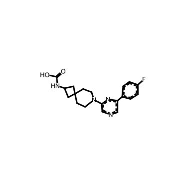 O=C(O)NC1CC2(CCN(c3cncc(-c4ccc(F)cc4)n3)CC2)C1